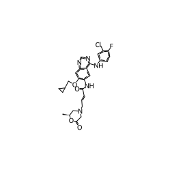 C[C@H]1CN(CC=CC(=O)Nc2cc3c(Nc4ccc(F)c(Cl)c4)ncnc3cc2OCC2CC2)CC(=O)O1